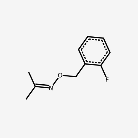 CC(C)=NOCc1ccccc1F